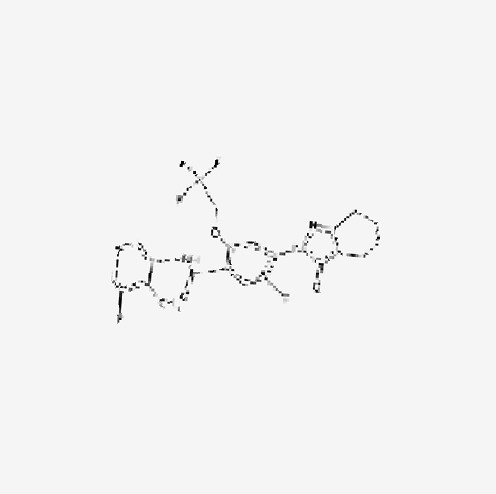 Cc1c(F)cccc1NC(=O)c1cc(F)c(-n2nc3n(c2=O)CCCC3)cc1OCC(F)(F)F